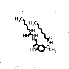 CCCCCCCC(=O)O.CCCCCNC(=N)N/N=C/c1c[nH]c2ccc(OC)cc12